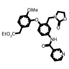 CCOC(=O)Cc1ccc(OC)c(Oc2ccc(NC(=O)c3cccnc3)cc2CN2CCOC2=O)c1